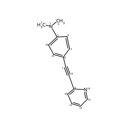 CN(C)c1ccc(C#Cc2ccccn2)cc1